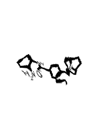 Cc1cc(C(=O)Nc2ccccc2N)ccc1C=C1CC2CCC(C1)N2C